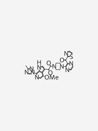 COc1cnc(-n2cnc(C)n2)c2[nH]cc(C(=O)C(=O)N3CCN(c4nccnc4C(=O)c4nccs4)CC3)c12